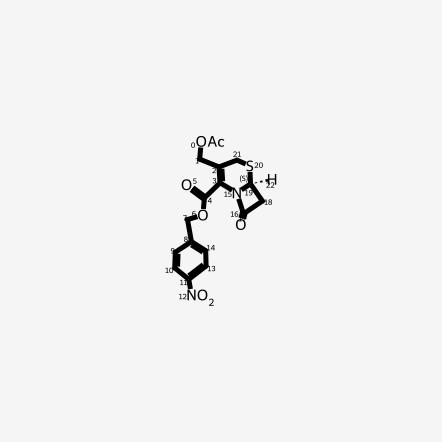 CC(=O)OCC1=C(C(=O)OCc2ccc([N+](=O)[O-])cc2)N2C(=O)C[C@@H]2SC1